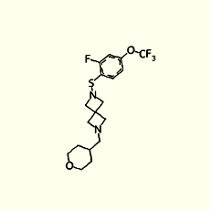 Fc1cc(OC(F)(F)F)ccc1SN1CC2(CN(CC3CCOCC3)C2)C1